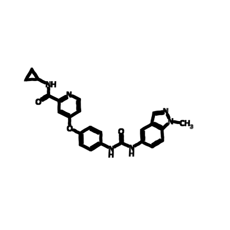 Cn1ncc2cc(NC(=O)Nc3ccc(Oc4ccnc(C(=O)NC5CC5)c4)cc3)ccc21